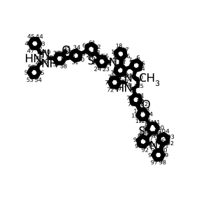 CC1=C(c2ccccc2-c2cccc3c2c2ccccc2n3-c2ccc3sc4c(-c5ccc6c(c5)oc5cc(C7=NC(c8ccccc8)NC(c8ccccc8)N7)ccc56)cccc4c3c2)N=C(c2ccccc2)NC(c2ccc3c(c2)oc2cc(C4=C5Sc6cccc(-n7c8ccccc8c8ccccc87)c6C5CC=C4)ccc23)C1